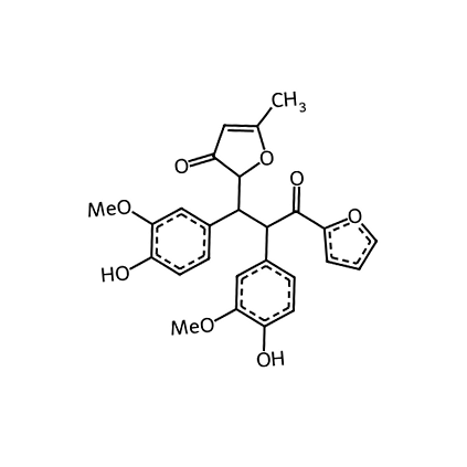 COc1cc(C(C(=O)c2ccco2)C(c2ccc(O)c(OC)c2)C2OC(C)=CC2=O)ccc1O